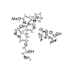 COc1ccc(CN2C3CC2CN(c2ccc(-c4cc(OC[C@H](O)CN)cn5ncc(C#N)c45)cn2)C3)cn1.O=C(O)C(F)(F)F.O=C(O)C(F)(F)F